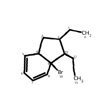 CCC1[C]C2C=CC=CC2(Br)C1CC